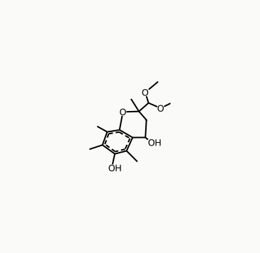 COC(OC)C1(C)CC(O)c2c(C)c(O)c(C)c(C)c2O1